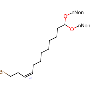 CCCCCCCCCOC(CCCCCCC/C=C\CCBr)OCCCCCCCCC